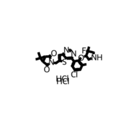 Cc1cc(Cl)cc(-c2ncnc3cc(CN4C(=O)C5C(C4=O)C5(C)C)sc23)c1OC1CNCC1(C)F.Cl.Cl